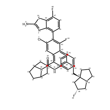 Nc1nc2c(-c3c(Cl)cc4c(N5CC6CCC(C5)N6C(=O)Nc5cncnc5)nc(OC[C@@]56CCCN5C[C@H](F)C6)nc4c3F)ccc(F)c2s1